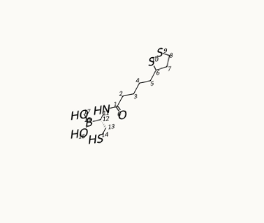 O=C(CCCCC1CCSS1)N[C@H](CS)B(O)O